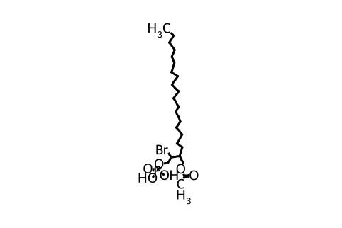 CCCCCCCCCCCCCCCCCCC(COC(C)=O)C(Br)COP(=O)(O)O